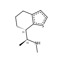 CN[C@@H](C)[C@@H]1CCCc2ccsc21